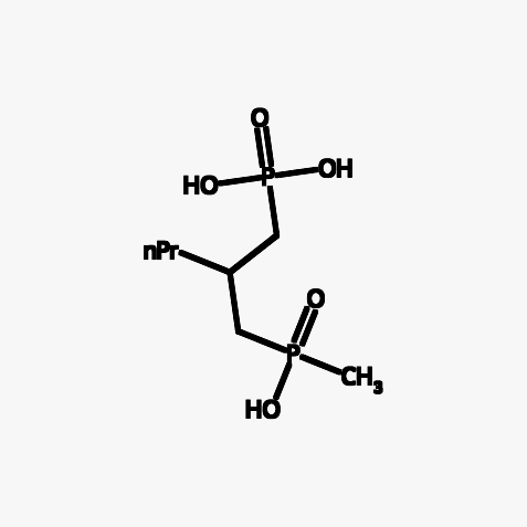 CCCC(CP(C)(=O)O)CP(=O)(O)O